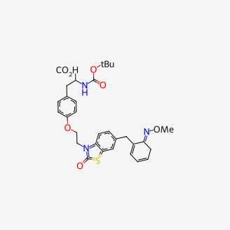 CON=C1CC=CC=C1Cc1ccc2c(c1)sc(=O)n2CCOc1ccc(CC(NC(=O)OC(C)(C)C)C(=O)O)cc1